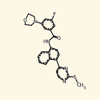 CSc1nccc(-c2ccc(NC(=O)c3cc(F)cc(N4CCOCC4)c3)c3ccccc23)n1